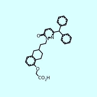 O=C(O)COc1cccc2c1CCC(CCn1nc(C(c3ccccc3)c3ccccc3)ccc1=O)C2